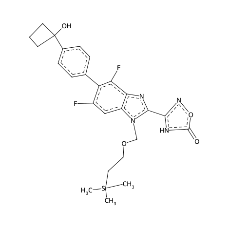 C[Si](C)(C)CCOCn1c(-c2noc(=O)[nH]2)nc2c(F)c(-c3ccc(C4(O)CCC4)cc3)c(F)cc21